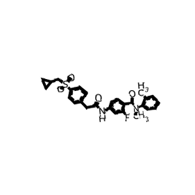 Cc1ccccc1N(C)C(=O)c1ccc(NC(=O)Cc2ccc(S(=O)(=O)CC3CC3)cc2)cc1F